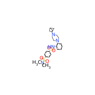 CN(C)S(=O)(=O)c1ccc(S(=O)(=O)Nc2ccccc2N2CCN(C34CC(C3)C4)CC2)cc1